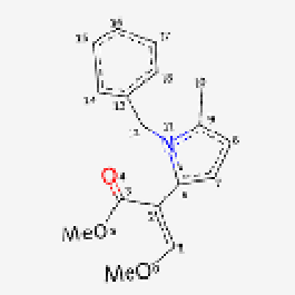 COC=C(C(=O)OC)c1ccc(C)n1Cc1ccccc1